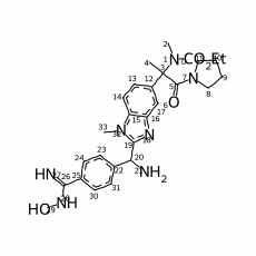 CCOC(=O)N(C)C(C)(C(=O)N1CCCC1)c1ccc2c(c1)nc(C(N)c1ccc(C(=N)NO)cc1)n2C